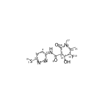 CSc1ccc(NC(=O)c2c(O)c(F)c(C)n(C)c2=O)nn1